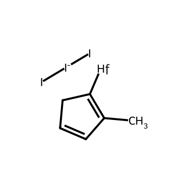 CC1=[C]([Hf])CC=C1.I[I-]I